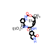 CCOC(=O)C[C@H]1NC(=O)[C@H](Nc2ccc3cc[nH]c(=O)c3c2)c2ccc(c(CC)c2)[C@@H](C)COC(=O)Nc2cccc1c2